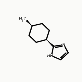 C[C@H]1CC[C@@H](c2ncc[nH]2)CC1